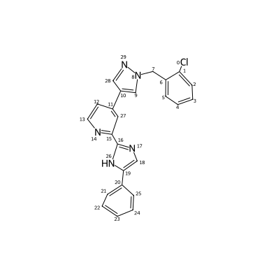 Clc1ccccc1Cn1cc(-c2ccnc(-c3ncc(-c4ccccc4)[nH]3)c2)cn1